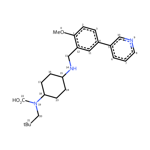 COc1ccc(-c2cccnc2)cc1CNC1CCC(N(CC(C)(C)C)C(=O)O)CC1